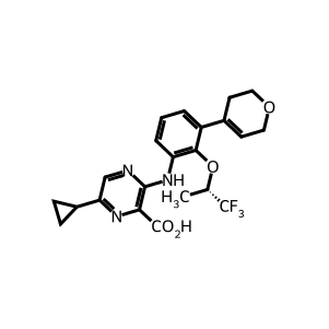 C[C@H](Oc1c(Nc2ncc(C3CC3)nc2C(=O)O)cccc1C1=CCOCC1)C(F)(F)F